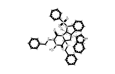 CN1C(=O)[C@@]2(SCc3ccccc3)C[C@]3(c4c[nH]c5ccccc45)c4ccccc4N(S(=O)(=O)c4ccccc4)[C@@H]3N2C(=O)[C@@H]1SCc1ccccc1